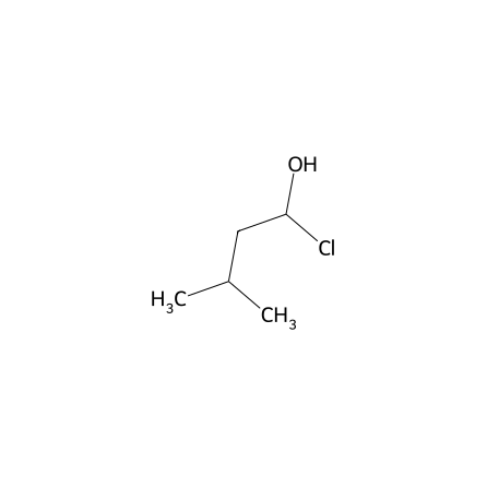 CC(C)CC(O)Cl